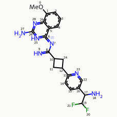 COc1cccc2/c(=N/C(=N)C3CC(c4ccc(C(N)C(F)F)cn4)C3)[nH]c(N)nc12